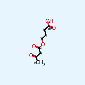 CC(=O)CC(=O)OCCCC(=O)O